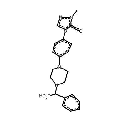 Cn1ncn(-c2ccc(N3CCN(C(C(=O)O)c4ccccc4)CC3)cc2)c1=O